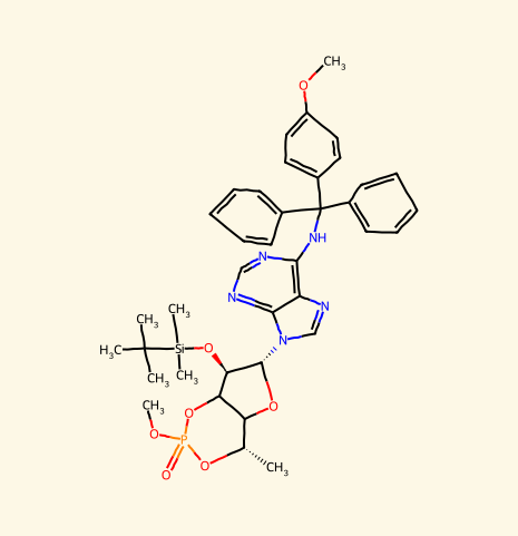 COc1ccc(C(Nc2ncnc3c2ncn3[C@@H]2OC3C(OP(=O)(OC)O[C@H]3C)[C@H]2O[Si](C)(C)C(C)(C)C)(c2ccccc2)c2ccccc2)cc1